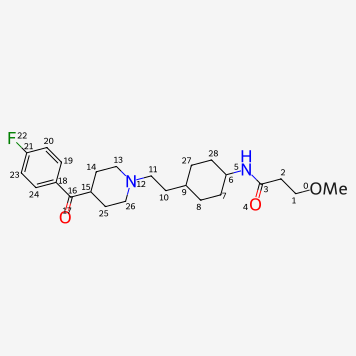 COCCC(=O)NC1CCC(CCN2CCC(C(=O)c3ccc(F)cc3)CC2)CC1